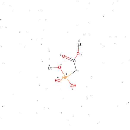 CCOC(=O)C[PH](O)(O)OCC